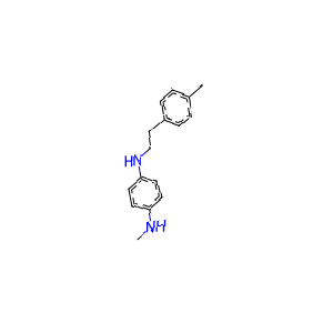 CNc1ccc(NCCc2ccc(C)cc2)cc1